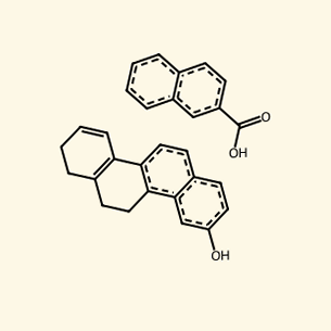 O=C(O)c1ccc2ccccc2c1.Oc1ccc2ccc3c(c2c1)CCC1=C3C=CCC1